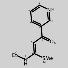 CCN/C(=C/C(=O)c1cccnc1)SC